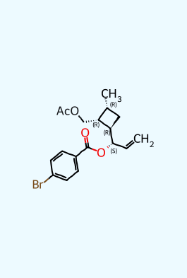 C=C[C@H](OC(=O)c1ccc(Br)cc1)[C@@H]1C[C@@H](C)[C@H]1COC(C)=O